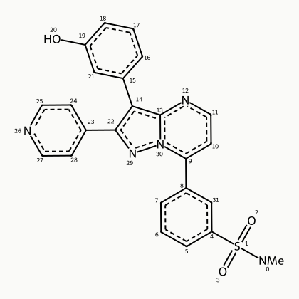 CNS(=O)(=O)c1cccc(-c2ccnc3c(-c4cccc(O)c4)c(-c4ccncc4)nn23)c1